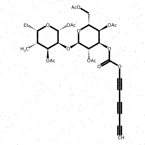 C#CC#CC#COC(=O)O[C@H]1[C@H](OC(C)=O)[C@@H](O[C@@H]2[C@@H](OC(C)=O)O[C@@H](CC)[C@@H](C)[C@@H]2OC(C)=O)O[C@H](COC(C)=O)[C@H]1OC(C)=O